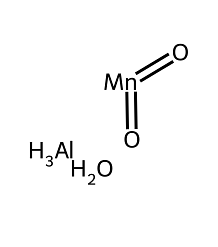 O.[AlH3].[O]=[Mn]=[O]